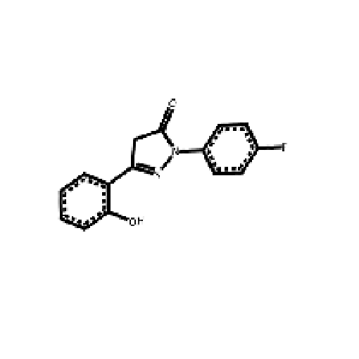 O=C1CC(c2ccccc2O)=NN1c1ccc(F)cc1